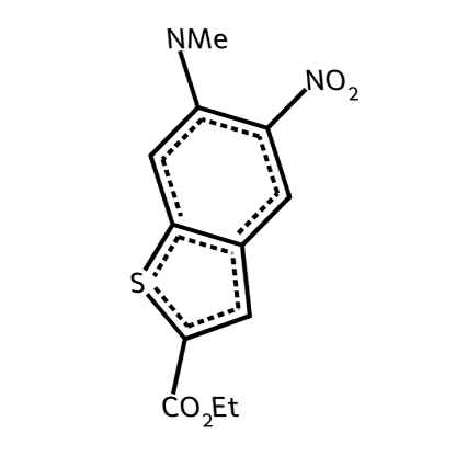 CCOC(=O)c1cc2cc([N+](=O)[O-])c(NC)cc2s1